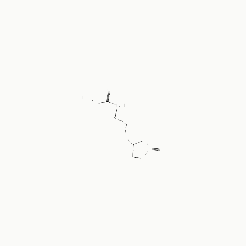 CC(C)(C)OC(=O)NCCOC1CO[P](=O)O1